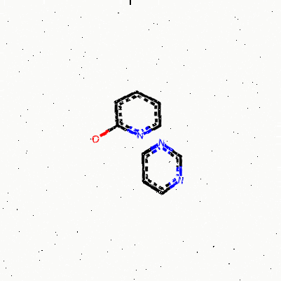 [O]c1ccccn1.c1cncnc1